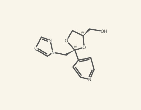 OC[C@@H]1CO[C@@](Cn2cncn2)(c2ccncc2)O1